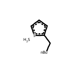 CCCCCc1cccs1.S